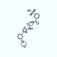 CC(C)S(=O)(=O)c1cccc(C(=O)NCC(=O)Nc2nc(-c3cccc(N4CCOCC4)c3)cs2)c1